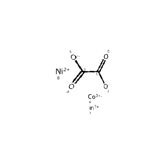 O=C([O-])C(=O)[O-].[Co+2].[In+3].[Ni+2]